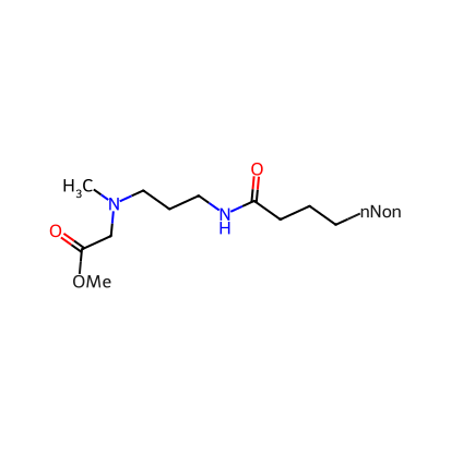 CCCCCCCCCCCCC(=O)NCCCN(C)CC(=O)OC